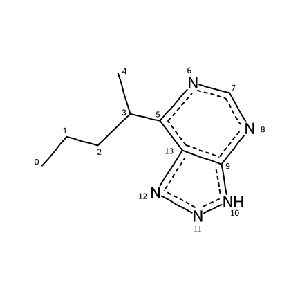 CCCC(C)c1ncnc2[nH]nnc12